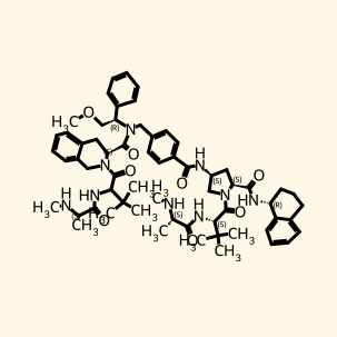 CN[C@@H](C)C(=O)NC(C(=O)N1Cc2ccccc2C[C@H]1C(=O)N(Cc1ccc(C(=O)N[C@H]2C[C@@H](C(=O)N[C@@H]3CCCc4ccccc43)N(C(=O)[C@@H](NC(=O)[C@H](C)NC)C(C)(C)C)C2)cc1)[C@@H](COC)c1ccccc1)C(C)(C)C